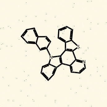 c1ccc2cc(-n3c4ccccc4c4c5cccnc5c5sc6ccccc6c5c43)ccc2c1